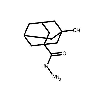 NNC(=O)C12CC3CC(CC(O)(C3)C1)C2